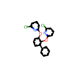 Clc1cccc(Oc2cccc(-c3ccccc3)c2Oc2cccc(Cl)n2)n1